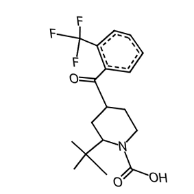 CC(C)(C)C1CC(C(=O)c2ccccc2C(F)(F)F)CCN1C(=O)O